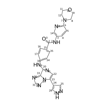 O=C(Nc1ccc(N2CCOCC2)nc1)c1ccc(Nc2ncc(-c3cn[nH]c3)n3ncnc23)cc1